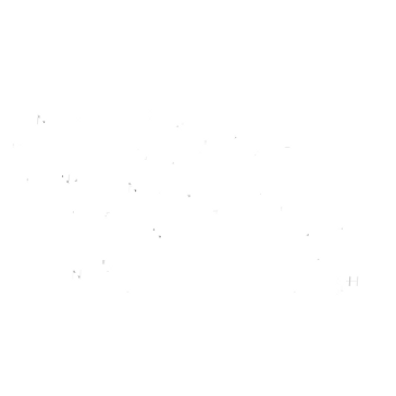 CN1CCN(Cc2c(C(N)=O)nc3n2C2C=C(C2)c2cc(F)c(C#CC(C)(C)O)cc2-3)CC1